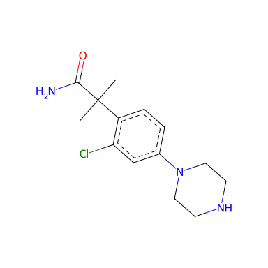 CC(C)(C(N)=O)c1ccc(N2CCNCC2)cc1Cl